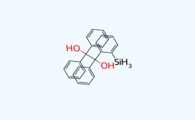 OC(c1ccccc1)(c1ccccc1)C(O)(c1ccccc1)c1ccccc1[SiH3]